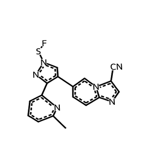 Cc1cccc(-c2nn(SF)cc2-c2ccc3ncc(C#N)n3c2)n1